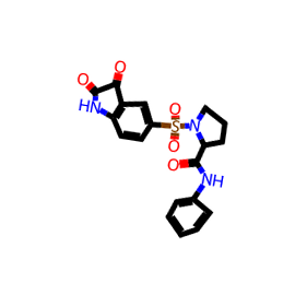 O=C1Nc2ccc(S(=O)(=O)N3CCCC3C(=O)Nc3ccccc3)cc2C1=O